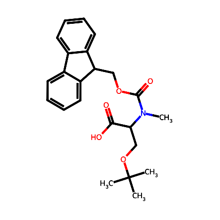 CN(C(=O)OCC1c2ccccc2-c2ccccc21)C(COC(C)(C)C)C(=O)O